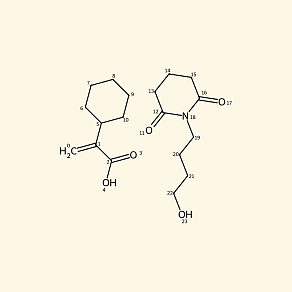 C=C(C(=O)O)C1CCCCC1.O=C1CCCC(=O)N1CCCCO